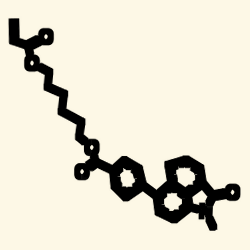 C=CC(=O)OCCCCCCOC(=O)c1ccc(-c2ccc3c4c(cccc24)C(=O)N3C)cc1